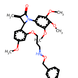 C=C1C(=O)N(c2cc(OC)c(OC)c(OC)c2)C1c1ccc(OC)cc1OCCCNOCc1ccccc1